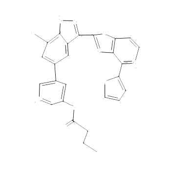 CCCC(=O)Nc1cncc(-c2cc(F)c3[nH]nc(-c4nc5c(-c6cccs6)nccc5[nH]4)c3c2)c1